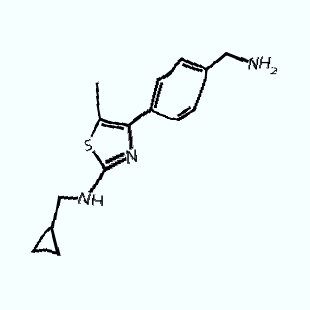 Cc1sc(NCC2CC2)nc1-c1ccc(CN)cc1